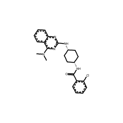 CN(C)c1nc(N[C@H]2CC[C@@H](NC(=O)c3ccccc3Cl)CC2)nc2ccccc12